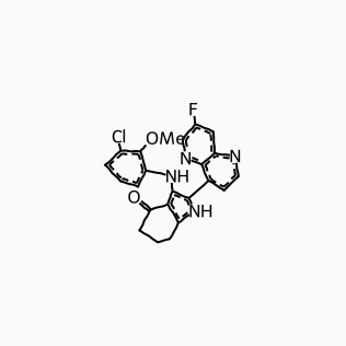 COc1c(Cl)cccc1Nc1c(-c2ccnc3cc(F)cnc23)[nH]c2c1C(=O)CCC2